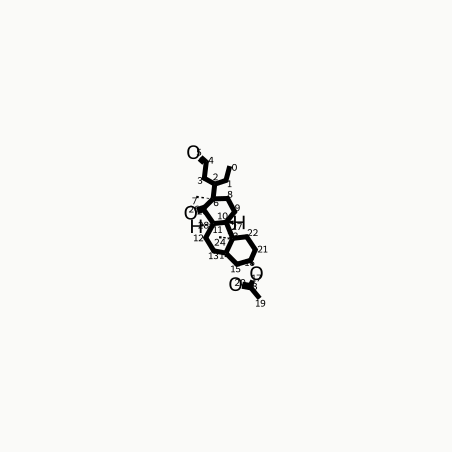 CCC(CC=O)[C@@]1(C)CC[C@H]2[C@@H](CCC3C[C@@H](OC(C)=O)CC[C@@]32C)C1=O